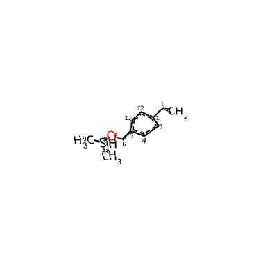 C=Cc1ccc(CO[SiH](C)C)cc1